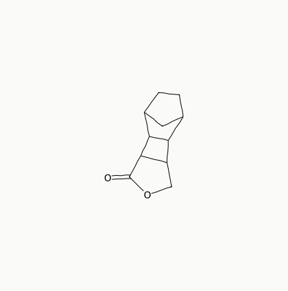 O=C1OCC2C1C1C3CCC(C3)C21